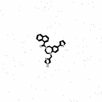 O=C(c1cccc2ccccc12)N1CCN(Cc2c[nH]cn2)c2ccc(-c3cccs3)cc2C1